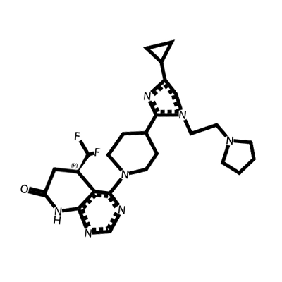 O=C1C[C@@H](C(F)F)c2c(ncnc2N2CCC(c3nc(C4CC4)cn3CCN3CCCC3)CC2)N1